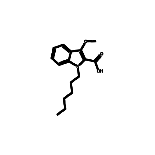 CCCCCCn1c(C(=O)O)c(OC)c2ccccc21